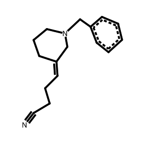 N#CCCC=C1CCCN(Cc2ccccc2)C1